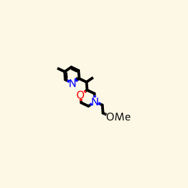 COCCN1CCOC(C(C)c2ccc(C)cn2)C1